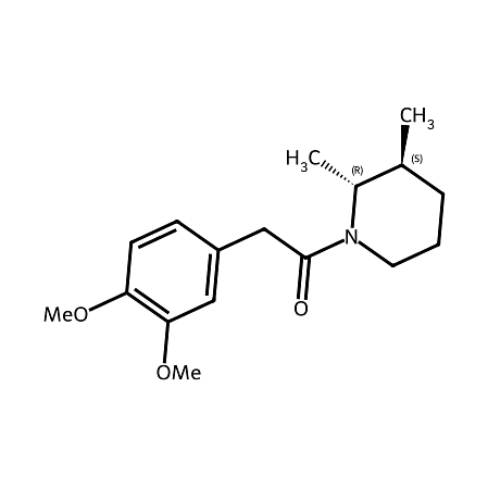 COc1ccc(CC(=O)N2CCC[C@H](C)[C@H]2C)cc1OC